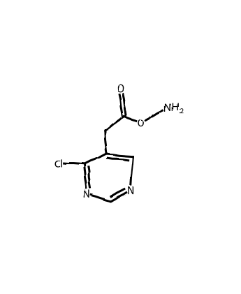 NOC(=O)Cc1cncnc1Cl